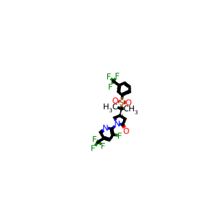 CC(C)([C@H]1CC(=O)N(c2ncc(C(F)(F)F)cc2F)C1)S(=O)(=O)c1cccc(C(F)(F)F)c1